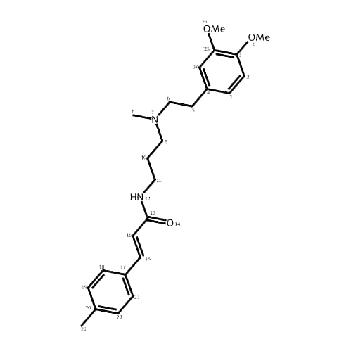 COc1ccc(CCN(C)CCCNC(=O)/C=C/c2ccc(C)cc2)cc1OC